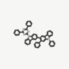 c1ccc(-c2nc(-c3ccccc3)nc(-n3c4ccccc4c4cc(-c5cc6c7ccccc7n(-c7ccccc7)c6cc5-c5ccccc5)ccc43)n2)cc1